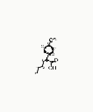 CCCCC(C(=O)O)c1ccc(OC)cc1